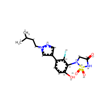 CC(C)CCn1cc(-c2ccc(O)c(N3CC(=O)NS3(=O)=O)c2F)cn1